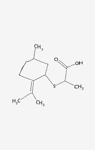 CC(C)=C1CCC(C)CC1SC(C)C(=O)O